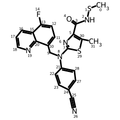 CSNC(=O)c1nc(N(Cc2ccc(F)c3cccnc23)c2ccc(C#N)cc2)sc1C